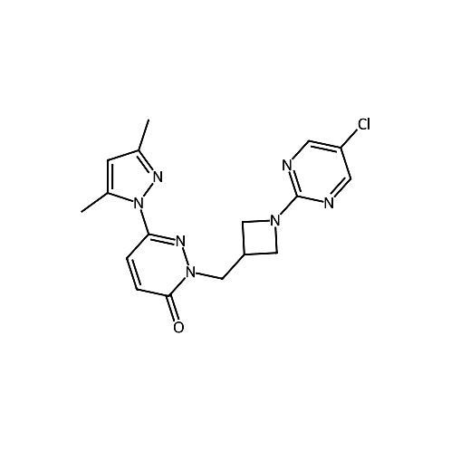 Cc1cc(C)n(-c2ccc(=O)n(CC3CN(c4ncc(Cl)cn4)C3)n2)n1